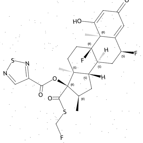 C[C@@H]1C[C@H]2[C@@H]3C[C@H](F)C4=CC(=O)C=C(O)[C@]4(C)[C@@]3(F)CC[C@]2(C)[C@@]1(OC(=O)c1cnsn1)C(=O)SCF